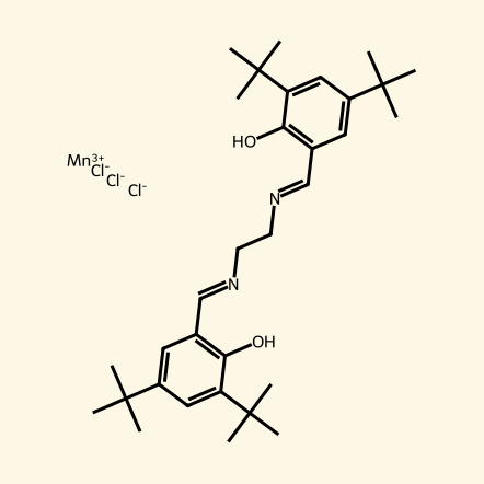 CC(C)(C)c1cc(C=NCCN=Cc2cc(C(C)(C)C)cc(C(C)(C)C)c2O)c(O)c(C(C)(C)C)c1.[Cl-].[Cl-].[Cl-].[Mn+3]